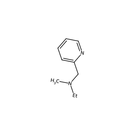 CCN(C)Cc1ccccn1